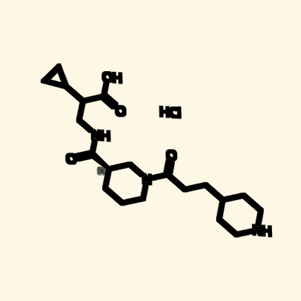 Cl.O=C(O)C(CNC(=O)[C@@H]1CCCN(C(=O)CCC2CCNCC2)C1)C1CC1